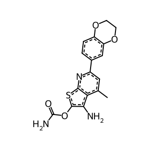 Cc1cc(-c2ccc3c(c2)OCCO3)nc2sc(OC(N)=O)c(N)c12